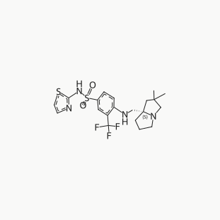 CC1(C)CN2CCC[C@@]2(CNc2ccc(S(=O)(=O)Nc3nccs3)cc2C(F)(F)F)C1